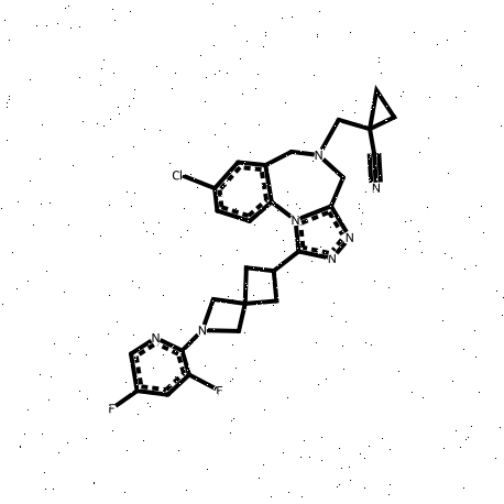 N#CC1(CN2Cc3cc(Cl)ccc3-n3c(nnc3C3CC4(C3)CN(c3ncc(F)cc3F)C4)C2)CC1